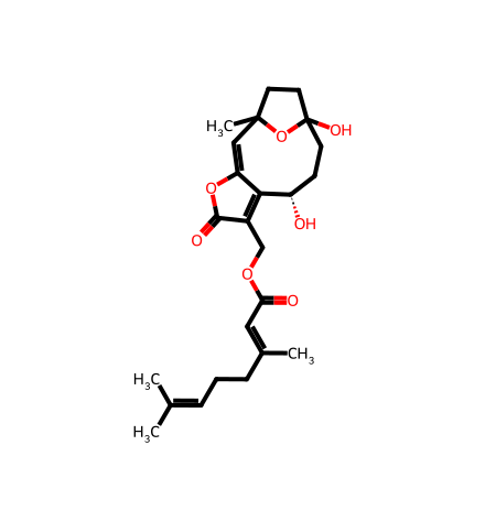 CC(C)=CCC/C(C)=C/C(=O)OCC1=C2/C(=C\C3(C)CCC(O)(CC[C@@H]2O)O3)OC1=O